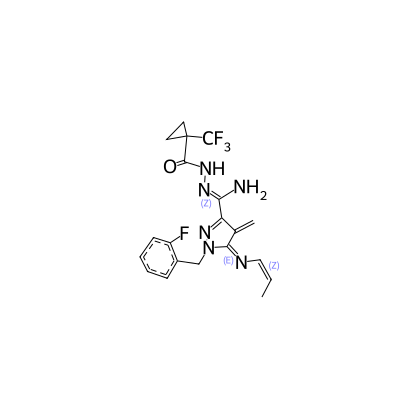 C=C1C(/C(N)=N/NC(=O)C2(C(F)(F)F)CC2)=NN(Cc2ccccc2F)/C1=N/C=C\C